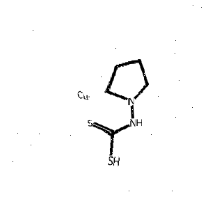 S=C(S)NN1CCCC1.[Cu]